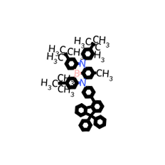 Cc1cc2c3c(c1)N(c1ccc(C(C)(C)C)cc1)c1cc(C(C)(C)C)ccc1B3c1cc(C(C)(C)C)ccc1N2c1ccc(-c2cccc3c2-c2ccccc2C3(c2ccccc2)c2ccccc2)cc1